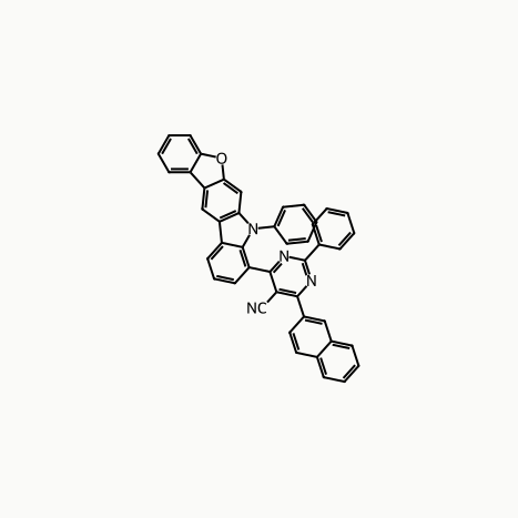 N#Cc1c(-c2ccc3ccccc3c2)nc(-c2ccccc2)nc1-c1cccc2c3cc4c(cc3n(-c3ccccc3)c12)oc1ccccc14